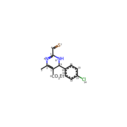 CCOC(=O)C1=C(C)N=C(C=S)NC1c1ccc(Cl)cc1